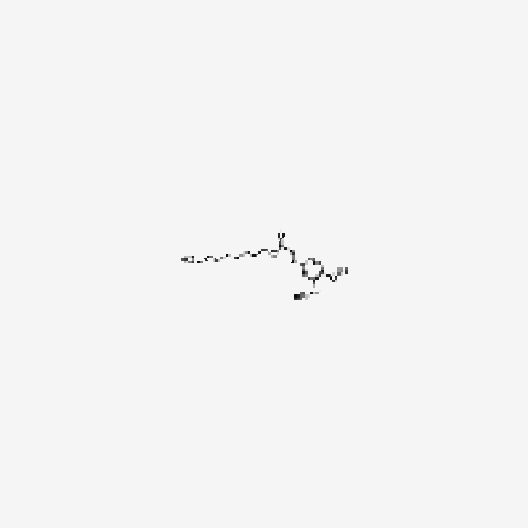 CCCOc1cc(C=CC(=O)OCCCCCCCCO)ccc1OCC